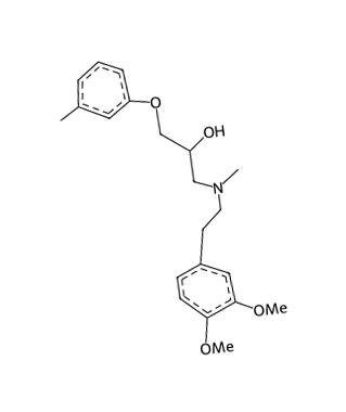 COc1ccc(CCN(C)CC(O)COc2cccc(C)c2)cc1OC